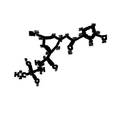 CS(=O)(=O)NNC(=O)C1=CC(Br)=CN(CC(=O)c2ccc(Cl)s2)C1